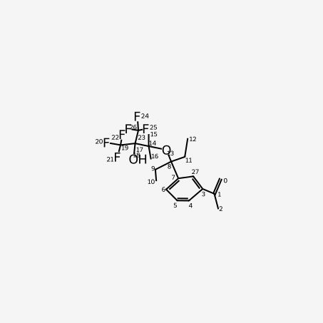 C=C(C)c1cccc(C(CC)(CC)OC(C)(C)C(O)(C(F)(F)F)C(F)(F)F)c1